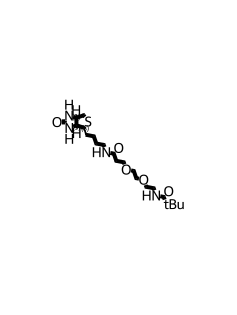 CC(C)(C)C(=O)NCCOCCOCCC(=O)NCCCC[C@@H]1SC[C@@H]2NC(=O)N[C@@H]21